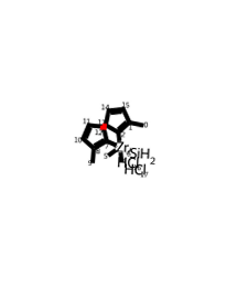 CC1=[C]([Zr]([CH3])([CH3])(=[SiH2])[C]2=C(C)C=CC2)CC=C1.Cl.Cl